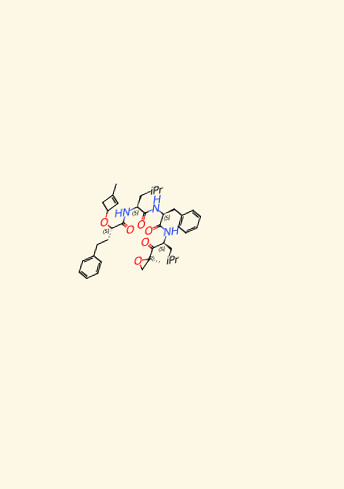 CC1=CC(O[C@@H](CCc2ccccc2)C(=O)N[C@@H](CC(C)C)C(=O)N[C@@H](Cc2ccccc2)C(=O)N[C@@H](CC(C)C)C(=O)[C@@]2(C)CO2)C1